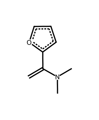 C=C(c1ccco1)N(C)C